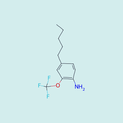 CCCCCc1ccc(N)c(OC(F)(F)F)c1